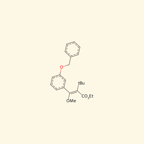 CCOC(=O)C(=C(OC)c1cccc(OCc2ccccc2)c1)C(C)(C)C